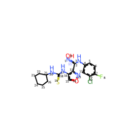 O/N=C(\Nc1ccc(F)c(Cl)c1)c1nocc1NC(=S)NC1CCCCC1